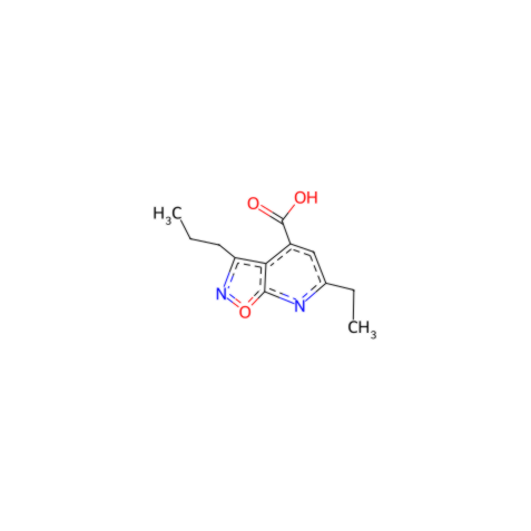 CCCc1noc2nc(CC)cc(C(=O)O)c12